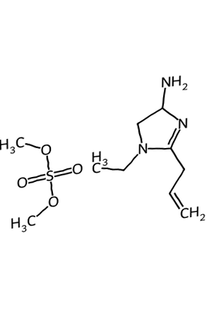 C=CCC1=NC(N)CN1CC.COS(=O)(=O)OC